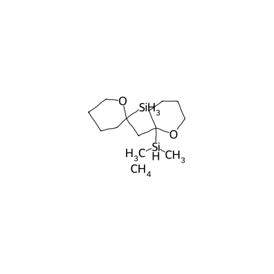 C.C[SiH](C)C1(CC2([SiH3])CCCCO2)CCCCO1